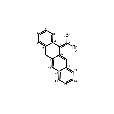 BrC(Br)=C1c2ccccc2Cc2cc3ccccc3cc21